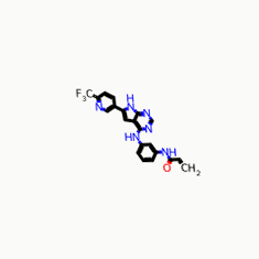 C=CC(=O)Nc1cccc(Nc2ncnc3[nH]c(-c4ccc(C(F)(F)F)nc4)cc23)c1